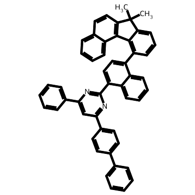 CC1(C)c2cccc(-c3ccc(-c4nc(-c5ccccc5)cc(-c5ccc(-c6ccccc6)cc5)n4)c4ccccc34)c2-c2c1ccc1ccccc21